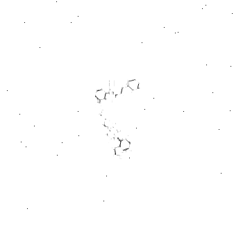 O=C(/C=C/c1ccccc1)Nc1cccc(OCCCCN2CCN(c3cccc4sccc34)CC2)c1